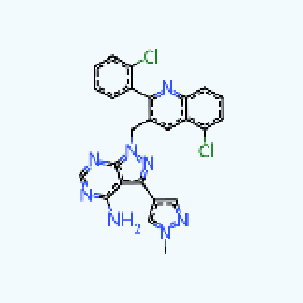 Cn1cc(-c2nn(Cc3cc4c(Cl)cccc4nc3-c3ccccc3Cl)c3ncnc(N)c23)cn1